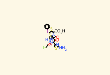 Nc1nc(C(=NOCCF)C(=O)C2(N)C(=O)N3C(C(=O)O)=C(Sc4ccccc4I)CS[C@H]32)cs1